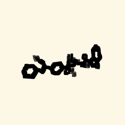 CC(C)(CNNC(=O)c1coc2ccccc12)c1ccc(/C(C#N)=C/c2ccccc2)cc1